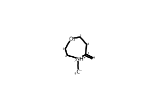 C=C1CCOCC[NH+]1[CH2-]